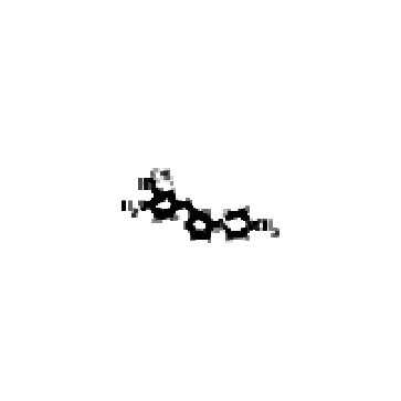 CNc1cc(Cc2cccc(N3CCN(C)CC3)c2)ccc1N